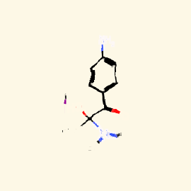 CCI.CCN(CC)C(C)(O)C(=O)c1ccc(N)cc1